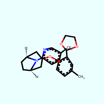 Cc1ccc(O[C@H]2C[C@H]3CC[C@@H](C2)N3c2ccc(C(F)(F)F)cn2)c(C2OCCO2)c1